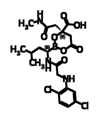 CNC(=O)C[C@]1(C(=O)O)CC(=O)OB([C@H](CC(C)C)NC(=O)CNc2cc(Cl)ccc2Cl)O1